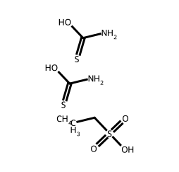 C.CCS(=O)(=O)O.NC(O)=S.NC(O)=S